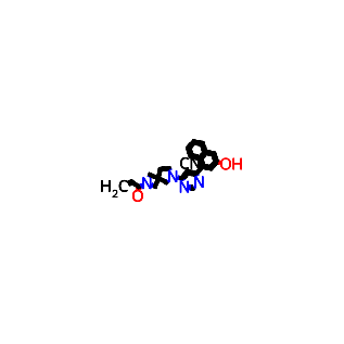 C=CC(=O)N1CC2(CCN(c3ncnc(-c4cc(O)cc5ccccc45)c3C#N)C2)C1